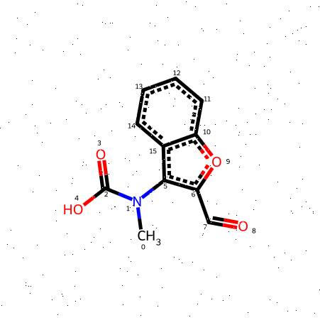 CN(C(=O)O)c1c(C=O)oc2ccccc12